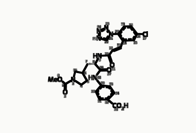 COC(=O)N1CCC(C[C@H](NC(=O)C=Cc2cc(Cl)ccc2-n2cnnn2)C(=O)Nc2ccc(C(=O)O)cc2)C1